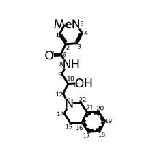 C/C=C(\C=C/NC)C(=O)NCC(O)CN1CCc2ccccc2C1